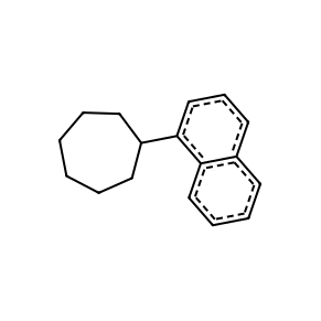 c1ccc2c(C3CCCCCC3)cccc2c1